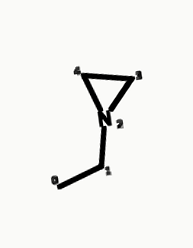 CCN1CC1